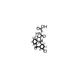 O=C(O)CNC(=O)C(Cl)/N=N/c1ccc(Cl)cc1C(=O)c1ccccc1